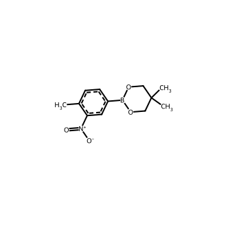 Cc1ccc(B2OCC(C)(C)CO2)cc1[N+](=O)[O-]